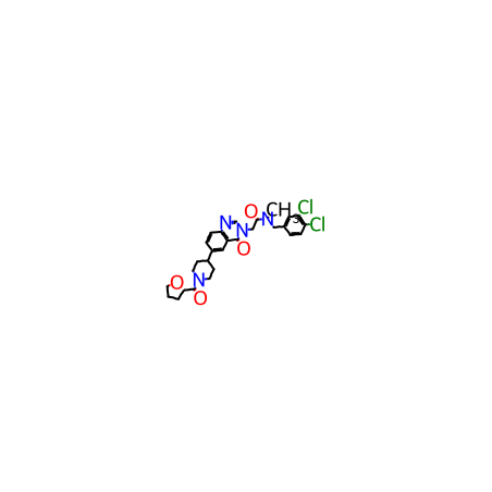 CN(Cc1ccc(Cl)c(Cl)c1)C(=O)Cn1cnc2ccc(C3CCN(C(=O)C4CCCO4)CC3)cc2c1=O